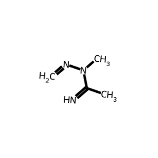 C=NN(C)C(C)=N